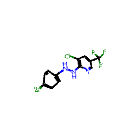 FC(F)(F)c1cnc(NNc2ccc(Br)cc2)c(Cl)c1